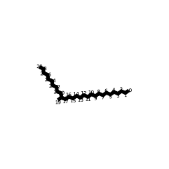 CCCCCCCCCCCCCCCCC[CH]C(C)CCCCCCCCCC